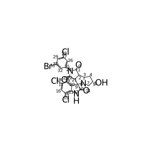 O=C1C2C3C[C@H](O)CN3C3(C(=O)Nc4c(Cl)cc(Cl)cc43)C2C(=O)N1c1cc(Cl)cc(Br)c1